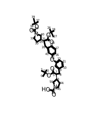 CC(C)(C)OC(=O)C(Cc1cccc(Oc2cccc(CC(C(=O)OC(C)(C)C)[C@H]3CCN(C(=O)OC(C)(C)C)C3)c2)c1)[C@H]1CCN(C(=O)O)C1